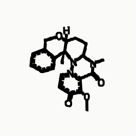 COc1c2n(ccc1=O)N1C(CC[C@H]3OCc4ccccc4[C@]31C)N(C)C2=O